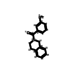 CCCc1cccc(C(=O)N2CCc3ccccc3C2)c1